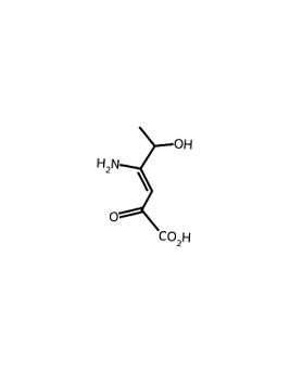 CC(O)C(N)=CC(=O)C(=O)O